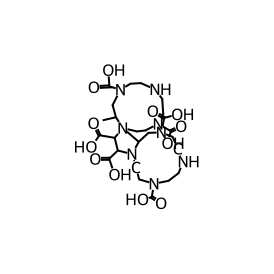 CC1CN(C(=O)O)CCNCCN(C(=O)O)CCN1C(C(=O)O)C(C(=O)O)N1CCN(C(=O)O)CCNCCN(C(=O)O)CC1C